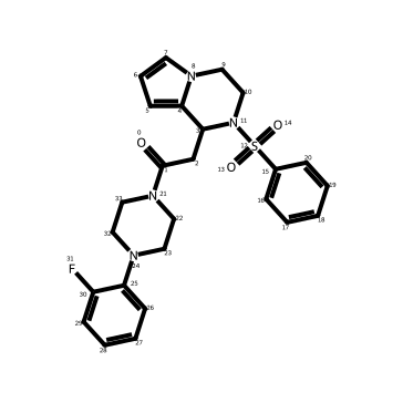 O=C(CC1c2cccn2CCN1S(=O)(=O)c1ccccc1)N1CCN(c2ccccc2F)CC1